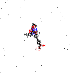 CNC(=O)[C@@](C)(C(=O)NOC1CCCCO1)N(C)C(=O)c1ccc(C#Cc2ccc(C(O)CCO)cc2)cc1